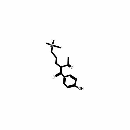 CC(=O)C(CCC[Si](C)(C)C)C(=O)c1ccc(O)cc1